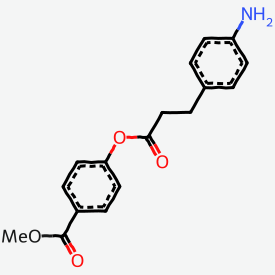 COC(=O)c1ccc(OC(=O)CCc2ccc(N)cc2)cc1